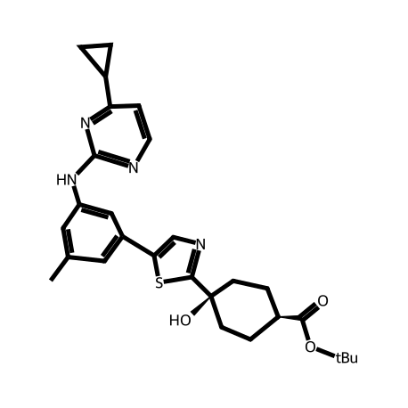 Cc1cc(Nc2nccc(C3CC3)n2)cc(-c2cnc([C@]3(O)CC[C@@H](C(=O)OC(C)(C)C)CC3)s2)c1